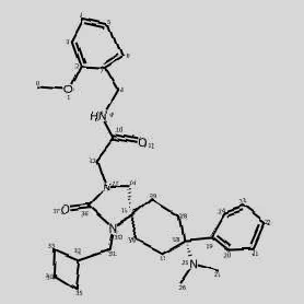 COc1ccccc1CNC(=O)CN1C[C@]2(CC[C@@](c3ccccc3)(N(C)C)CC2)N(CC2CCC2)C1=O